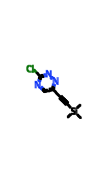 C[Si](C)(C)C#Cc1cnc(Cl)nn1